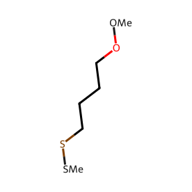 COOCCCCSSC